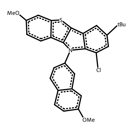 COc1ccc2ccc(-n3c4c(Cl)cc(C(C)(C)C)cc4c4sc5cc(OC)ccc5c43)cc2c1